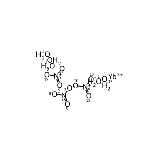 O.O.O.O.O.O=[N+]([O-])[O-].O=[N+]([O-])[O-].O=[N+]([O-])[O-].[Yb+3]